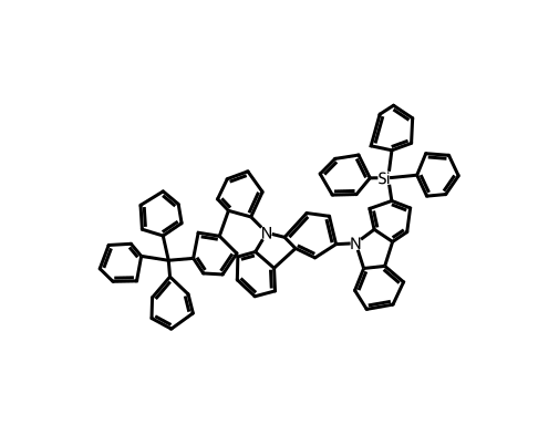 c1ccc(C(c2ccccc2)(c2ccccc2)c2cccc(-c3ccccc3-n3c4ccccc4c4cc(-n5c6ccccc6c6ccc([Si](c7ccccc7)(c7ccccc7)c7ccccc7)cc65)ccc43)c2)cc1